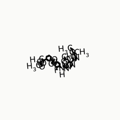 CCOC(C)n1cc(-c2ncn3nc(Nc4ccc(S(=O)(=O)c5cccc(C(C)OS(C)(=O)=O)c5)cc4F)nc3c2OC(C)C)cn1